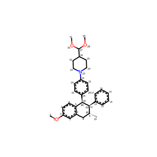 COc1ccc2c(c1)C[C@@H](C)[C@H](c1ccccc1)[C@@H]2c1ccc(N2CCC(C(OC)OC)CC2)cc1